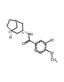 COc1cnc(C(=O)N[C@@H]2C[C@H]3CCN(C3)C2)cc1Cl